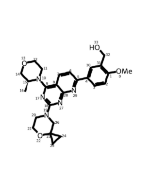 COc1ccc(-c2ccc3c(N4CCOC[C@@H]4C)nc(N4CCOC5(CC5)C4)nc3n2)cc1CO